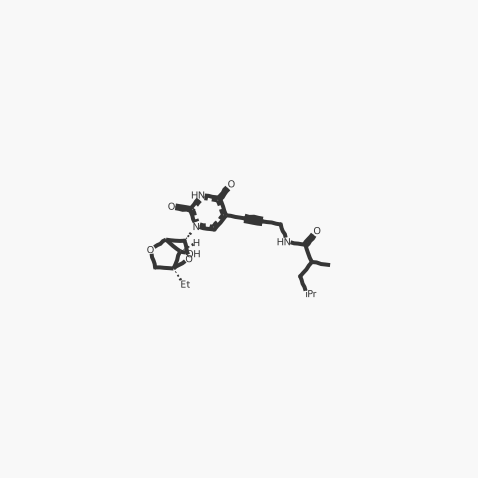 CC[C@@]12COC([C@H](n3cc(C#CCNC(=O)C(C)CC(C)C)c(=O)[nH]c3=O)O1)[C@H]2O